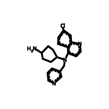 NC1CCC(N(Cc2cccnc2)c2ccnc3cc(Cl)ccc23)CC1